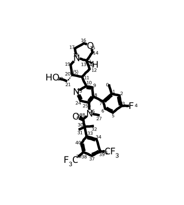 Cc1cc(F)ccc1-c1cc(C2C[C@H]3COCCN3C[C@H]2CO)ncc1N(C)C(=O)C(C)(C)c1cc(C(F)(F)F)cc(C(F)(F)F)c1